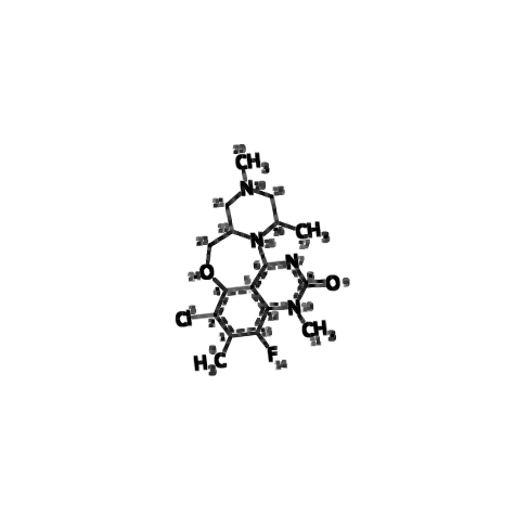 Cc1c(Cl)c2c3c(nc(=O)n(C)c3c1F)N1C(C)CN(C)CC1CO2